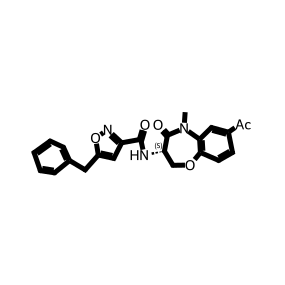 CC(=O)c1ccc2c(c1)N(C)C(=O)[C@@H](NC(=O)c1cc(Cc3ccccc3)on1)CO2